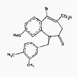 COc1ccc2c(c1)N(Cc1ccc(C)c(C)c1)C(=O)CC(C(=O)O)=C2Br